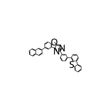 c1cc(-c2ncc3oc4ccc(-c5ccc6ccccc6c5)cc4c3n2)cc(-c2cccc3c2sc2ccccc23)c1